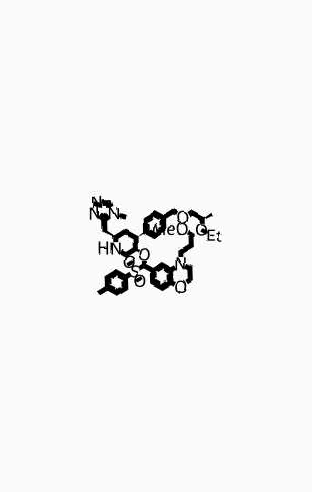 CCO[C@H](C)COCc1ccc([C@H]2C[C@H](Cc3nncn3C)NC[C@@H]2OC(c2ccc3c(c2)N(CCCOC)CCO3)S(=O)(=O)c2ccc(C)cc2)cc1